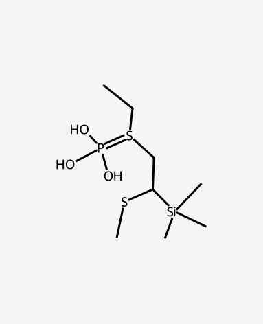 CCS(CC(SC)[Si](C)(C)C)=P(O)(O)O